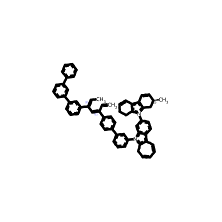 C=C/C(=C\C(=C/C)c1cccc(-c2cccc(-c3ccccc3)c2)c1)c1ccc(-c2cccc(-n3c4c(c5ccc(-n6c7c(c8c6C[C@H](C)C=C8)C=CCC7)cc53)C=CC=CC4)c2)cc1